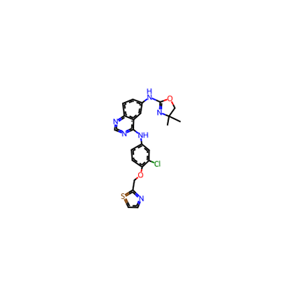 CC1(C)COC(Nc2ccc3ncnc(Nc4ccc(OCc5nccs5)c(Cl)c4)c3c2)=N1